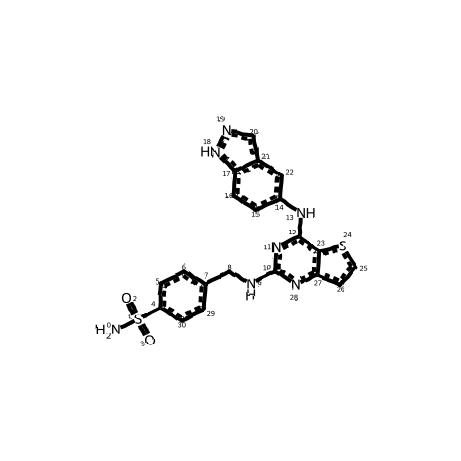 NS(=O)(=O)c1ccc(CNc2nc(Nc3ccc4[nH]ncc4c3)c3sccc3n2)cc1